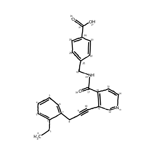 CCc1ccccc1CC#Cc1cnccc1C(=O)NCc1ccc(C(=O)O)cc1